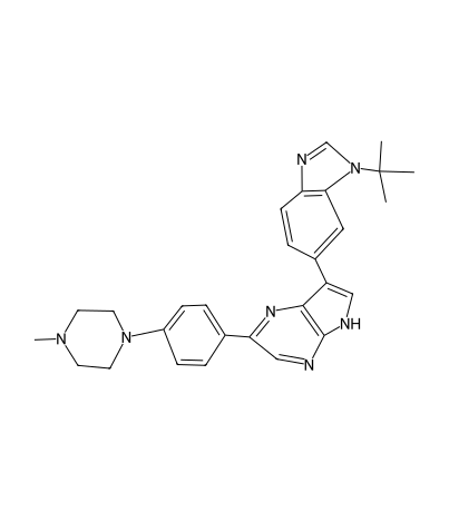 CN1CCN(c2ccc(-c3cnc4[nH]cc(-c5ccc6ncn(C(C)(C)C)c6c5)c4n3)cc2)CC1